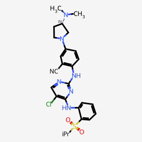 CC(C)S(=O)(=O)c1ccccc1Nc1nc(Nc2ccc(N3CC[C@H](N(C)C)C3)cc2C#N)ncc1Cl